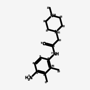 Cc1c(N)ccc(NC(=O)CN2CCN(C)CC2)c1C